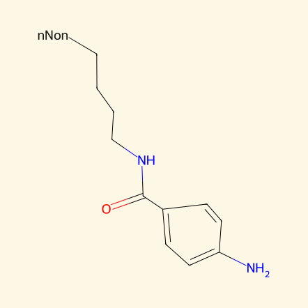 CCCCCCCCCCCCCNC(=O)c1ccc(N)cc1